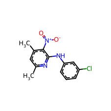 Cc1cc(C)c([N+](=O)[O-])c(Nc2cccc(Cl)c2)n1